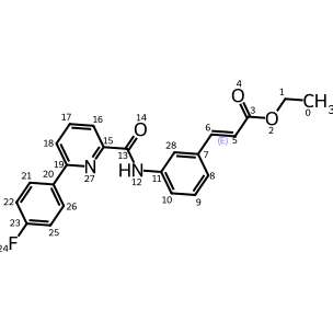 CCOC(=O)/C=C/c1cccc(NC(=O)c2cccc(-c3ccc(F)cc3)n2)c1